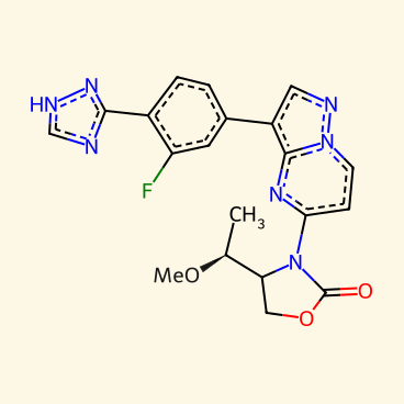 CO[C@@H](C)C1COC(=O)N1c1ccn2ncc(-c3ccc(-c4nc[nH]n4)c(F)c3)c2n1